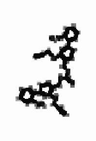 C#CCOc1cc(-c2ccccc2[N+](=O)[O-])ccc1COC(=O)OCc1ccc(-c2ccccc2[N+](=O)[O-])cc1OCC#C